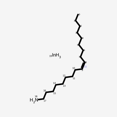 CCCCCCCC/C=C\CCCCCCCCN.[InH3]